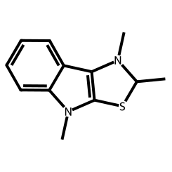 CC1Sc2c(c3ccccc3n2C)N1C